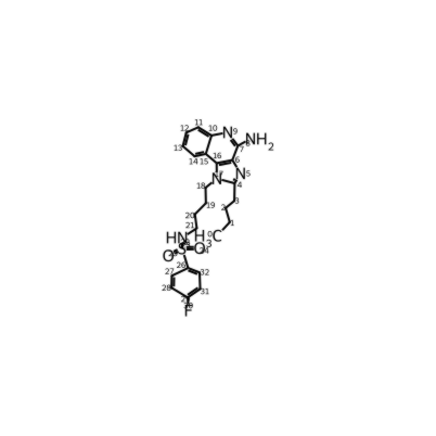 CCCCc1nc2c(N)nc3ccccc3c2n1CCCCNS(=O)(=O)c1ccc(F)cc1